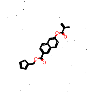 C=C(C)C(=O)Oc1ccc2cc(C(=O)OCC3=CC=CC3)ccc2c1